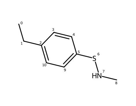 CCc1ccc(SNC)cc1